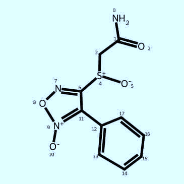 NC(=O)C[S+]([O-])c1no[n+]([O-])c1-c1ccccc1